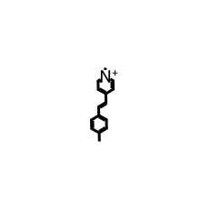 Cc1ccc(C=Cc2cc[n+](C)cc2)cc1